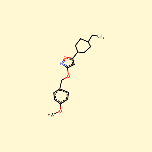 CCC1CCC(c2cc(OCc3ccc(OC)cc3)no2)CC1